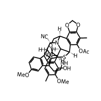 COc1ccc2[nH]c3c(c2c1)CCN[C@]31S[C@@H]2c3c(OC(C)=O)c(C)c4c(c3[C@H](COC1=O)N1[C@@H]2[C@H]2c3c(cc(C)c(OC)c3O)C[C@@H]([C@@H]1C#N)N2C)OCO4